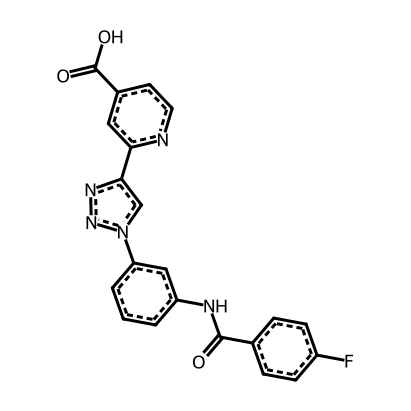 O=C(O)c1ccnc(-c2cn(-c3cccc(NC(=O)c4ccc(F)cc4)c3)nn2)c1